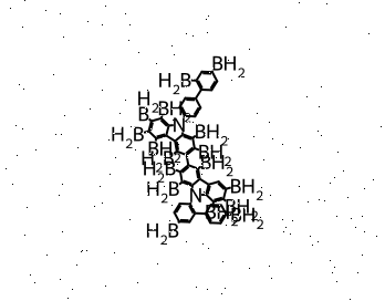 Bc1ccc(-c2cc(B)ccc2-n2c3c(B)c(B)c(B)cc3c3c(B)c(-c4c(B)c(B)c5c(c4B)c4c(B)c(B)c(B)c(B)c4n5-c4ccc(-c5ccc(B)cc5B)cc4)c(B)c(B)c32)cc1